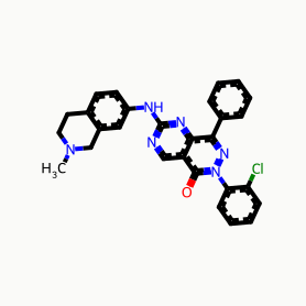 CN1CCc2ccc(Nc3ncc4c(=O)n(-c5ccccc5Cl)nc(-c5ccccc5)c4n3)cc2C1